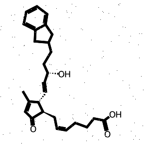 CC1=CC(=O)[C@H](C/C=C\CCCC(=O)O)[C@H]1/C=C/[C@@H](O)CCC1Cc2ccccc2C1